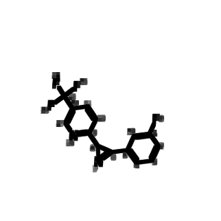 Fc1cccc(C2=NC2c2ccc(C(F)(F)F)cn2)c1